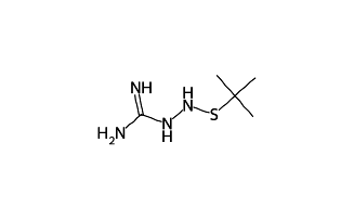 CC(C)(C)SNNC(=N)N